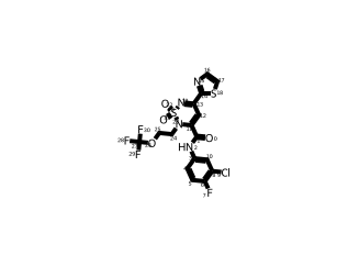 O=C(Nc1ccc(F)c(Cl)c1)C1=CC(c2nccs2)=NS(=O)(=O)N1CCOC(F)(F)F